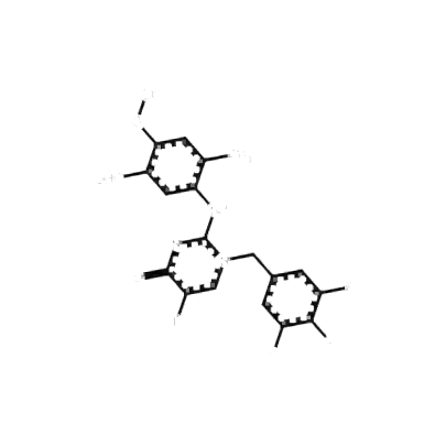 CCOc1cc(C)c(Nc2nc(=O)c(F)cn2Cc2cc(F)c(F)c(F)c2)cc1C=O